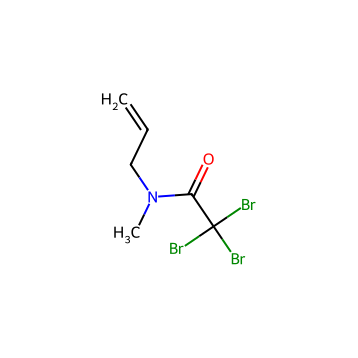 C=CCN(C)C(=O)C(Br)(Br)Br